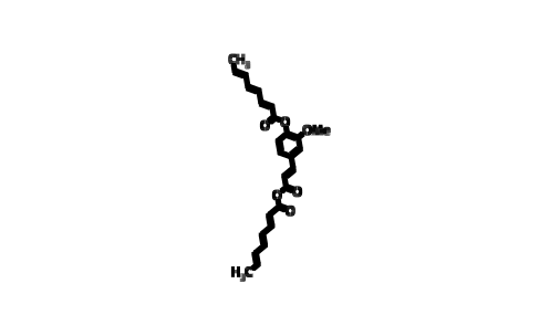 C/C=C/C=C/C=C/C(=O)OC(=O)/C=C/c1ccc(OC(=O)/C=C/C=C/C=C/C)c(OC)c1